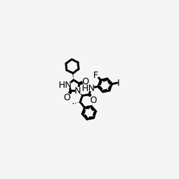 C[C@@H](c1ccccc1)[C@@H](C(=O)Nc1ccc(I)cc1F)N1C(=O)N[C@H](C2CCCCC2)C1=O